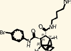 NCCCCNC(=O)[C@H]1[C@H](C(=O)Nc2ccc(Br)cc2)[C@H]2C=C[C@@H]1C21CC1